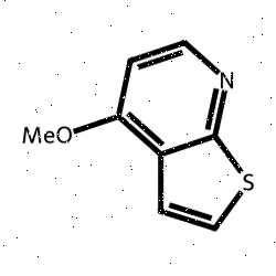 COc1ccnc2sccc12